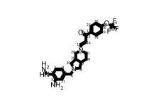 NNc1ccc(CN2CC3CCN(/C=C/C(=O)c4ccc(OC(F)(F)F)cc4)CC3C2)cc1N